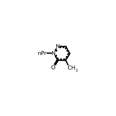 CCCn1nccc(C)c1=O